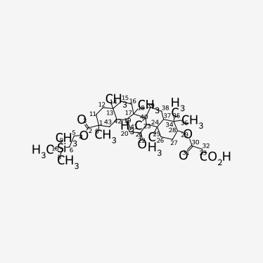 CC1(C(=O)OCC[Si](C)(C)C)CCC2(C)CCC3(C)C(=CC(=O)C4C5(C)CCC(OC(=O)CC(=O)O)C(C)(C)C5CCC43C)C2C1